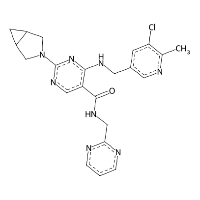 Cc1ncc(CNc2nc(N3CC4CC4C3)ncc2C(=O)NCc2ncccn2)cc1Cl